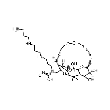 C[C@H]1CCCCCCCCCC[C@H]2OC(CO)C([C@H](O)[C@H]2O)C(C)(C)C2OC(CN(CCCNCCCNCCCN)/[N+](O)=N/O)C1[C@H](O)[C@H]2O